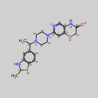 CC1Nc2cc(C(C)N3CCN(c4cc5c(cn4)NC(=O)CO5)CC3)ccc2S1